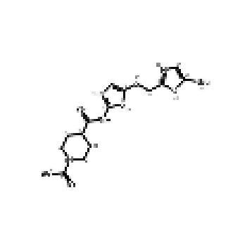 CC(C)C(=O)N1CCC(C(=O)Nc2ncc(SCc3ncc(C(C)(C)C)o3)s2)CC1